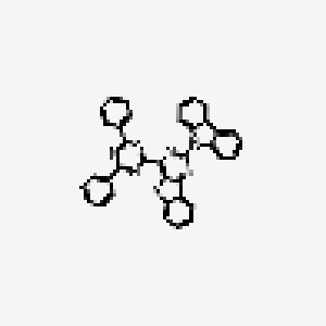 c1ccc(-c2nc(-c3ccccc3)nc(-c3nc(-n4c5ccccc5c5ccccc54)nc4c3sc3ccccc34)n2)cc1